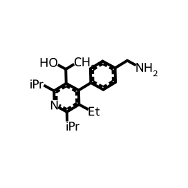 CCc1c(C(C)C)nc(C(C)C)c(C(C)O)c1-c1ccc(CN)cc1